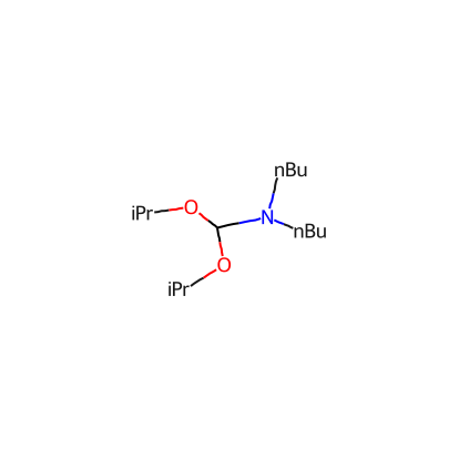 CCCCN(CCCC)C(OC(C)C)OC(C)C